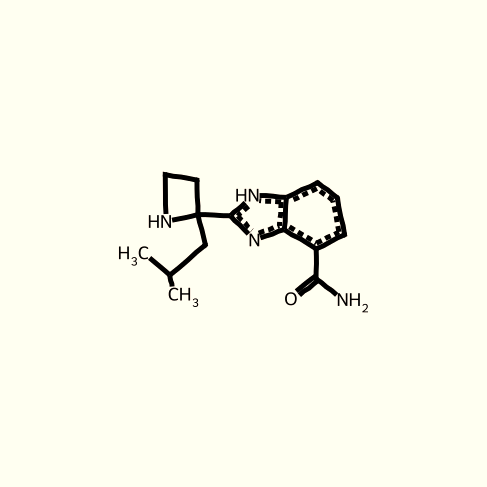 CC(C)CC1(c2nc3c(C(N)=O)cccc3[nH]2)CCN1